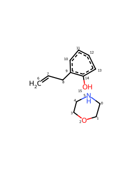 C1COCCN1.C=CCc1ccccc1O